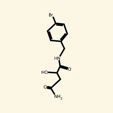 NC(=O)CC(O)C(=O)NCc1ccc(Br)cc1